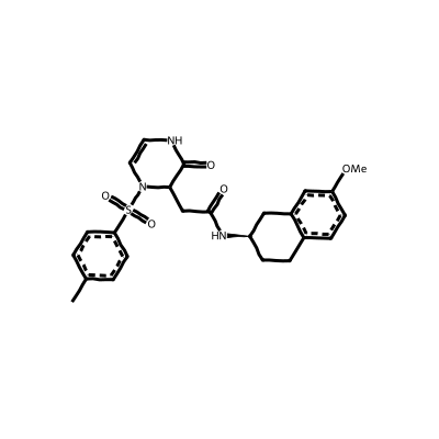 COc1ccc2c(c1)C[C@H](NC(=O)CC1C(=O)NC=CN1S(=O)(=O)c1ccc(C)cc1)CC2